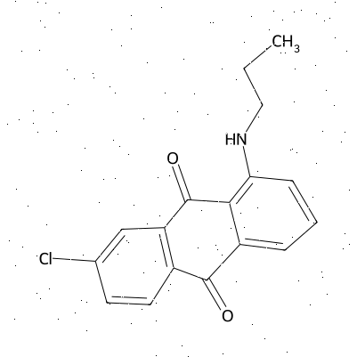 CCCNc1cccc2c1C(=O)c1cc(Cl)ccc1C2=O